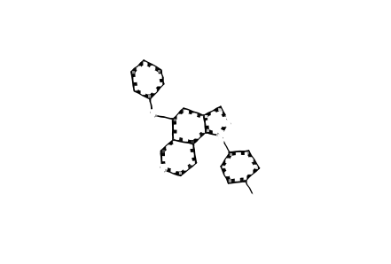 Fc1ccc(-n2ncc3cc(Nc4ccccc4)c4cnccc4c32)cc1